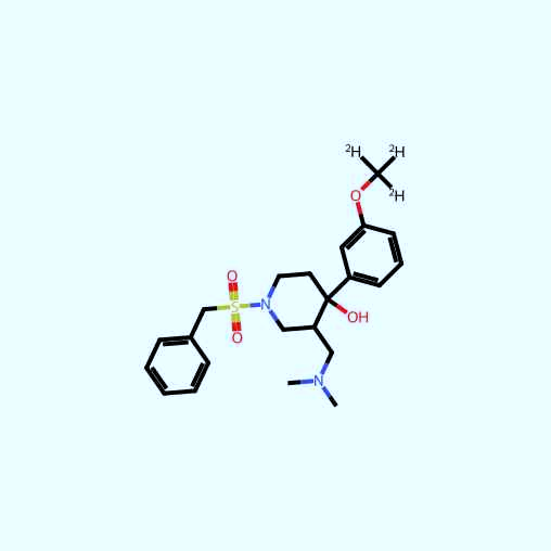 [2H]C([2H])([2H])Oc1cccc(C2(O)CCN(S(=O)(=O)Cc3ccccc3)CC2CN(C)C)c1